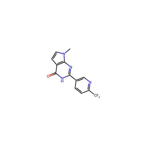 Cn1ccc2c(=O)[nH]c(-c3ccc(C(F)(F)F)nc3)nc21